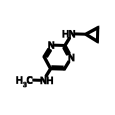 CNc1cnc(NC2CC2)nc1